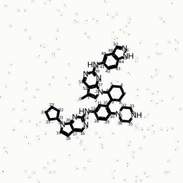 Cc1cn(C2CCCCC2c2cc(Nc3ncc4ccn(C5CCCC5)c4n3)ccc2N2CCNCC2)c2nc(Nc3ccc4[nH]ncc4c3)ncc12